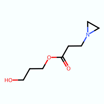 O=C(CCN1CC1)OCCCO